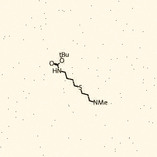 CNCCCSCCCCNC(=O)OC(C)(C)C